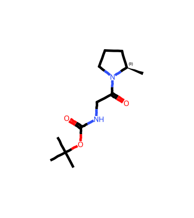 C[C@@H]1CCCN1C(=O)CNC(=O)OC(C)(C)C